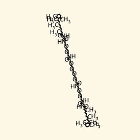 CC1=C(/C=C/C(C)=C/C=C/C(C)=C/C(=O)NCC(=O)NCCOCCOCCNC(=O)CCOCCOCCOCCOCCC(=O)NCCOCCOCCNC(=O)CNC(=O)/C=C(C)/C=C/C=C(C)/C=C/C2=C(C)CCCC2(C)C)C(C)(C)CCC1